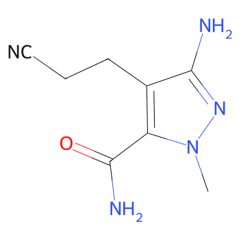 Cn1nc(N)c(CCC#N)c1C(N)=O